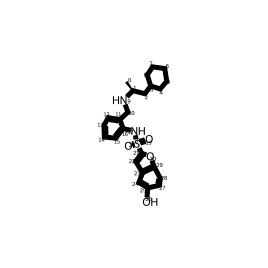 C[C@@H](CC1CCCCC1)NCc1ccccc1NS(=O)(=O)c1cc2cc(O)ccc2o1